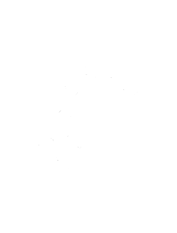 CC(=O)O/N=C(/C(=O)c1ccc(Sc2ccc(C(=O)c3ccc(-c4ccccc4)cc3)cc2)cc1)c1c(C)cccc1[N+](=O)[O-]